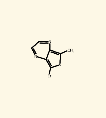 CCc1sc(C)c2nccnc12